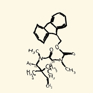 C=CC(C)(C)[C@@H](C(C)=O)N(C)C(=O)[C@@H](C)N(C)C(=O)OCC1c2ccccc2-c2ccccc21